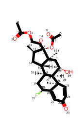 CC(=O)OCC(=O)[C@]1(OC(C)=O)[C@H](C)C[C@H]2[C@@H]3C[C@H](F)C4=CC(=O)C=C[C@]4(C)[C@@H]3[C@@H](O)C[C@@]21C